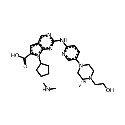 CNC.C[C@@H]1CN(c2ccc(Nc3ncc4cc(C(=O)O)n(C5CCCC5)c4n3)nc2)CCN1CCO